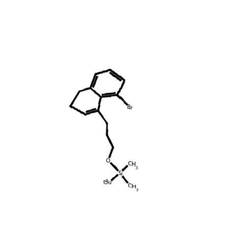 CC(C)(C)[Si](C)(C)OCCCC1=CCCc2cccc(Br)c21